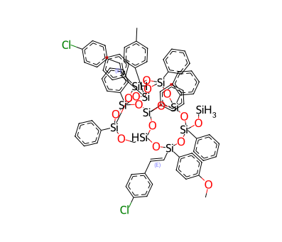 COc1ccc([Si]2(/C=C/c3ccc(Cl)cc3)O[SiH]3CO[Si]4(c5ccccc5)O[SiH](c5ccccc5)O[Si]5(c6ccccc6)O[Si](/C=C/c6ccc(Cl)cc6)(c6ccc(C)cc6)O[Si](c6ccccc6)(O4)O[Si](c4ccccc4)(O3)O[Si](c3ccccc3)(O[Si](O[SiH3])(c3ccccc3)O2)O5)cc1